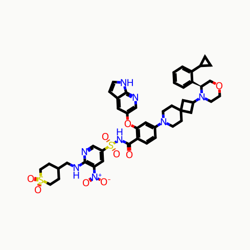 O=C(NS(=O)(=O)c1cnc(NCC2CCS(=O)(=O)CC2)c([N+](=O)[O-])c1)c1ccc(N2CCC3(CC2)CC(N2CCOC[C@@H]2c2ccccc2C2CC2)C3)cc1Oc1cnc2[nH]ccc2c1